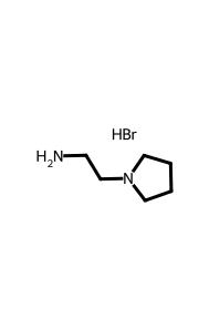 Br.NCCN1CCCC1